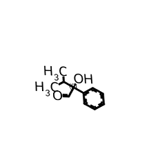 CC(C)[C@@](O)(C=O)c1ccccc1